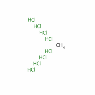 C.Cl.Cl.Cl.Cl.Cl.Cl.Cl.Cl